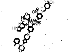 Cc1ccccc1[C@@H]1COCCN1C1CC2(CCN(c3ccc(C(=O)NS(=O)(=O)c4ccc(NCC5CCC(C)(O)CC5)c([N+](=O)[O-])c4)c(N4C[C@H]5CCOC[C@@H]5Oc5nc6[nH]ccc6cc54)c3)CC2)C1